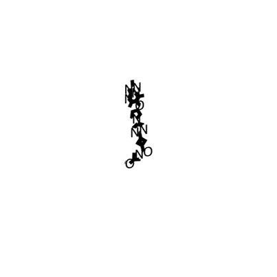 COC1CN(C(=O)C23CC(c4ncc(N5CC[C@@H](Oc6c(C)nc7nc(C)nn7c6C)C5)cn4)(C2)C3)C1